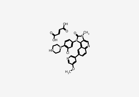 COc1cncc(-c2ccc3ncc4c(c3c2)n(-c2ccc(N3CCNCC3)c(Cl)c2)c(=O)n4C)c1.O=C(O)C=CC(=O)O